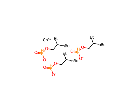 CCCCC(CC)CO[PH](=O)[O-].CCCCC(CC)CO[PH](=O)[O-].CCCCC(CC)CO[PH](=O)[O-].[Co+3]